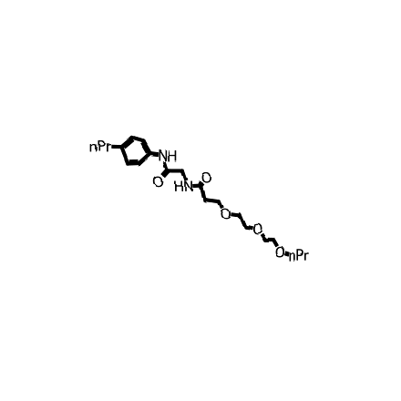 CCCOCCOCCOCCC(=O)NCC(=O)Nc1ccc(CCC)cc1